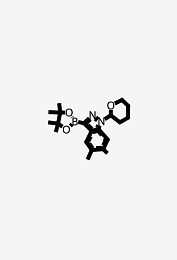 Cc1cc2c(B3OC(C)(C)C(C)(C)O3)nn(C3CCCCO3)c2cc1C